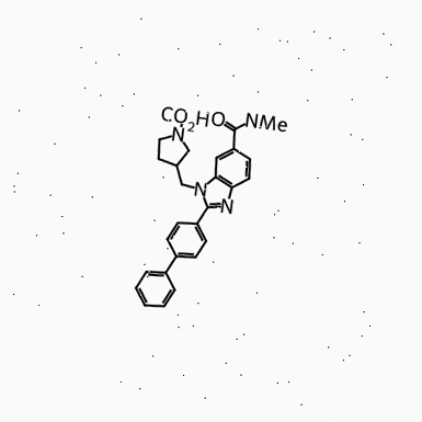 CNC(=O)c1ccc2nc(-c3ccc(-c4ccccc4)cc3)n(CC3CCN(C(=O)O)C3)c2c1